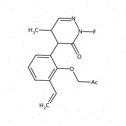 C=Cc1cccc(C2C(=O)N(F)N=CC2C)c1OCC(C)=O